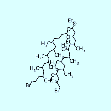 CCOC(CCCC(C)CC(C)CC(C)CC(C)CC(C)CC(C)CCCBr)OC(CCCC(C)CC(C)CC(C)CC(C)CC(C)CC(C)CCCBr)OCC